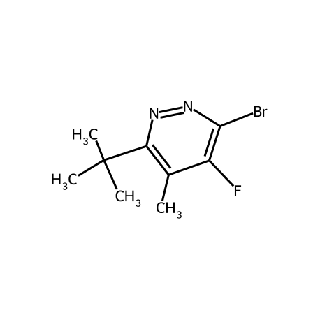 Cc1c(C(C)(C)C)nnc(Br)c1F